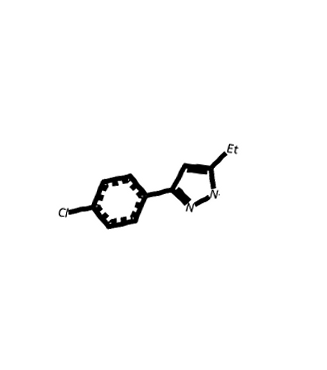 CCC1=CC(c2ccc(Cl)cc2)=N[N]1